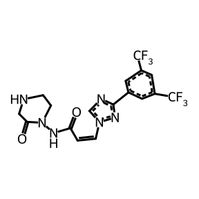 O=C(/C=C\n1cnc(-c2cc(C(F)(F)F)cc(C(F)(F)F)c2)n1)NN1CCNCC1=O